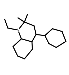 CCN1C2CCCCC2C(C2CCCCC2)CC1(C)C